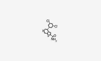 NC(=O)c1cc2c(-c3cc(Cl)cc(Cl)c3)cncc2s1